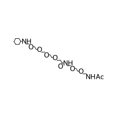 CC(=O)NCCOCCOCCNC(=O)CCOCCOCCOCCOCCNC1CCCCC1